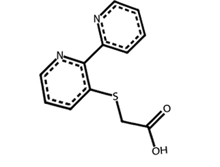 O=C(O)CSc1cccnc1-c1ccccn1